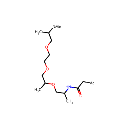 CNC(C)COCCOCC(C)OCC(C)NC(=O)CC(C)=O